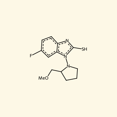 COCC1CCCN1n1c(S)nc2ccc(F)cc21